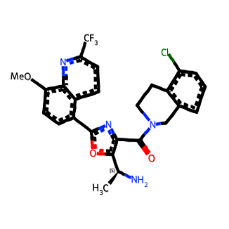 COc1ccc(-c2nc(C(=O)N3CCc4c(Cl)cccc4C3)c([C@H](C)N)o2)c2ccc(C(F)(F)F)nc12